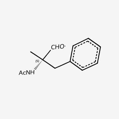 CC(=O)N[C@](C)([C]=O)Cc1ccccc1